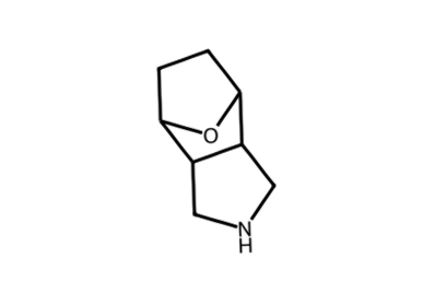 C1CC2OC1C1CNCC21